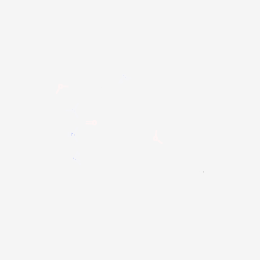 CC(C)(C)c1ccc(OCCCc2sc(-c3ccc4c(c3)N(C(=O)Nc3nc5ccccc5s3)CCO4)nc2C(=O)O)cc1